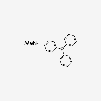 CNC.c1ccc(P(c2ccccc2)c2ccccc2)cc1